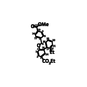 CCOC(=O)c1ccc(OCc2ccc(C(=O)OC)cc2)c(-c2ccccc2CC)c1